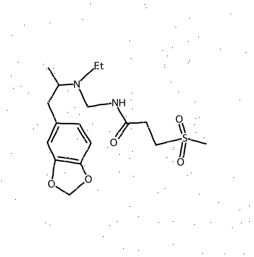 CCN(CNC(=O)CCS(C)(=O)=O)C(C)Cc1ccc2c(c1)OCO2